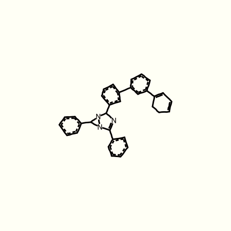 C1=CCCC(c2cccc(-c3cccc(C4N=C(c5ccccc5)N5C(c6ccccc6)N45)c3)c2)=C1